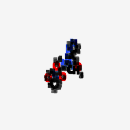 Cn1c(N2CCOC(C(=O)N3CCOc4ccccc43)C2)nc(-c2ccncn2)cc1=O